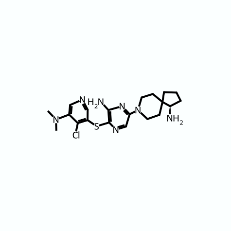 CN(C)c1cncc(Sc2ncc(N3CCC4(CCC[C@H]4N)CC3)nc2N)c1Cl